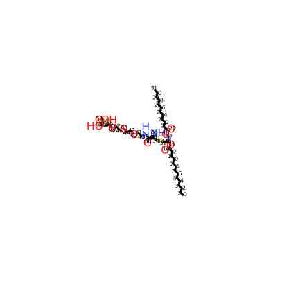 CCCCCCCCCCCCCC(=O)O[C@H](COC(=O)CCCCCCCCCCC)CSC[C@H](N)C(=O)NCCOCCOCCOCCP(=O)(O)O